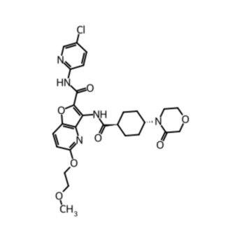 COCCOc1ccc2oc(C(=O)Nc3ccc(Cl)cn3)c(NC(=O)[C@H]3CC[C@H](N4CCOCC4=O)CC3)c2n1